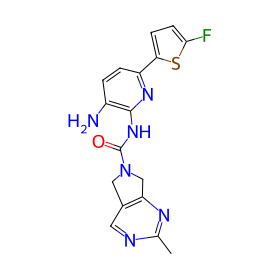 Cc1ncc2c(n1)CN(C(=O)Nc1nc(-c3ccc(F)s3)ccc1N)C2